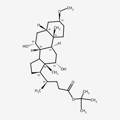 CO[C@H]1CC[C@@]2(C)[C@@H](C1)C[C@@H](O)[C@H]1C3CC[C@H]([C@H](C)CCC(=O)OC(C)(C)C)[C@@]3(C)[C@@H](O)C[C@@H]12